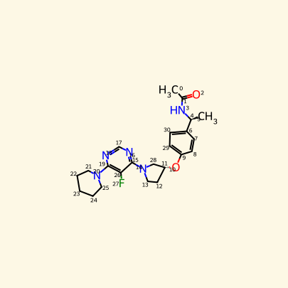 CC(=O)N[C@@H](C)c1ccc(O[C@@H]2CCN(c3ncnc(N4CCCCC4)c3F)C2)cc1